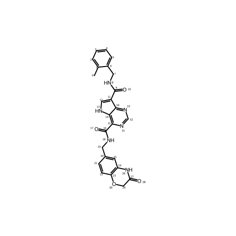 Cc1ccccc1CNC(=O)c1c[nH]c2c(C(=O)NCc3ccc4c(c3)NC(=O)CO4)ncnc12